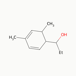 CCC(O)C1C=CC(C)=CC1C